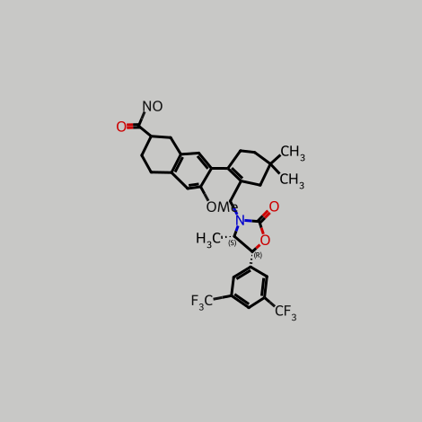 COc1cc2c(cc1C1=C(CN3C(=O)O[C@H](c4cc(C(F)(F)F)cc(C(F)(F)F)c4)[C@@H]3C)CC(C)(C)CC1)CC(C(=O)N=O)CC2